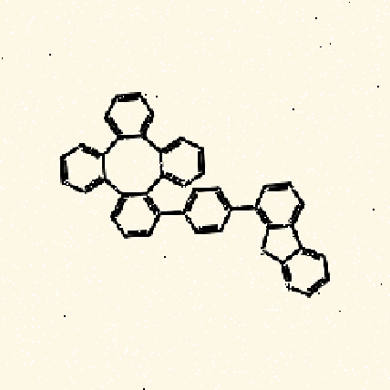 c1ccc2c(c1)-c1ccccc1-c1cccc(-c3ccc(-c4cccc5c4sc4ncccc45)cc3)c1-c1ccccc1-2